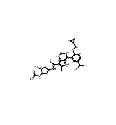 CCC(=O)NC1CC(NC(=O)c2c(C)[nH]c3c(-c4cc(C(F)F)ccc4OCC4CC4)ncnc23)CC1F